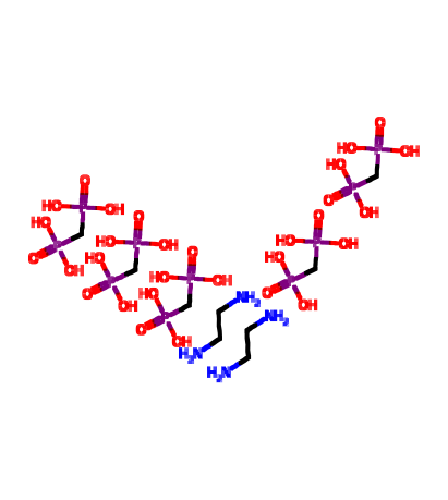 NCCN.NCCN.O=P(O)(O)CP(=O)(O)O.O=P(O)(O)CP(=O)(O)O.O=P(O)(O)CP(=O)(O)O.O=P(O)(O)CP(=O)(O)O.O=P(O)(O)CP(=O)(O)O